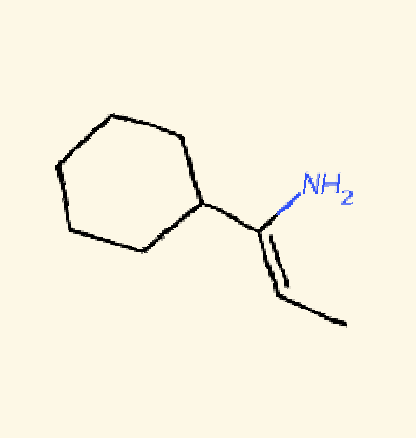 CC=C(N)C1CCCCC1